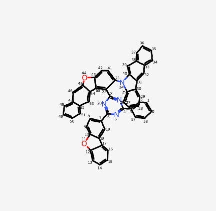 c1ccc(-c2nc(-c3ccc4oc5ccccc5c4c3)nc(-c3c(-n4c5ccccc5c5cc6ccccc6cc54)ccc4oc5cc6ccccc6cc5c34)n2)cc1